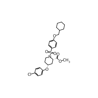 COC(=O)[C@@H]1C[C@H](Oc2ccc(Cl)cc2)CCN1S(=O)(=O)c1ccc(OCC2CCCCC2)cc1